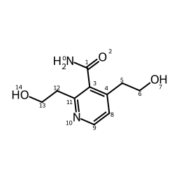 NC(=O)c1c(CCO)ccnc1CCO